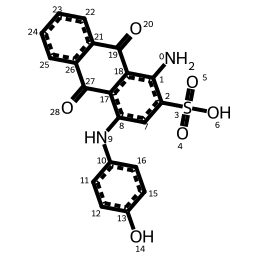 Nc1c(S(=O)(=O)O)cc(Nc2ccc(O)cc2)c2c1C(=O)c1ccccc1C2=O